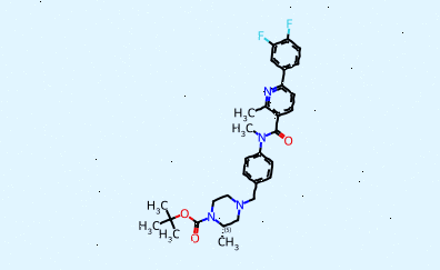 Cc1nc(-c2ccc(F)c(F)c2)ccc1C(=O)N(C)c1ccc(CN2CCN(C(=O)OC(C)(C)C)[C@@H](C)C2)cc1